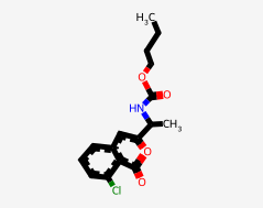 CCCCOC(=O)NC(C)c1cc2cccc(Cl)c2c(=O)o1